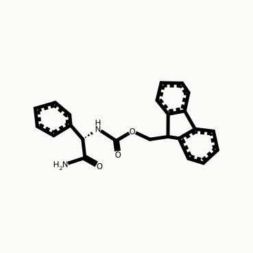 NC(=O)[C@@H](NC(=O)OCC1c2ccccc2-c2ccccc21)c1ccccc1